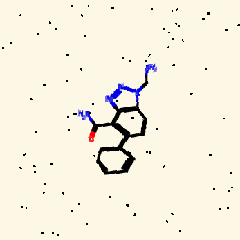 NCn1nnc2c(C(N)=O)c(-c3ccccc3)ccc21